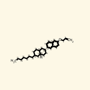 C=CCOc1ccc2cc([C@@H]3CC[C@@H]4CC(CCCCCCC)CCC4C3)ccc2c1